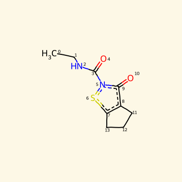 CCNC(=O)n1sc2c(c1=O)CCC2